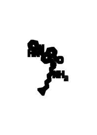 NC(CCCCC1CC1)CCN1C(=O)c2cccc3c(-c4nc5ccccc5[nH]4)ccc1c23